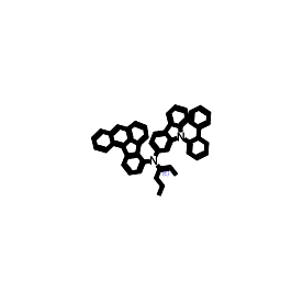 C/C=C(\CCC)N(c1ccc2c3ccccc3n(C3=CC=CCC3c3ccccc3)c2c1)c1cccc2c1-c1cccc3cc4ccccc4c-2c13